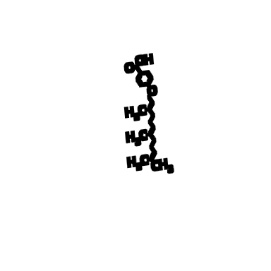 CC(C)=CCC/C(C)=C/CC/C(C)=C/COc1ccc(C(=O)O)cc1